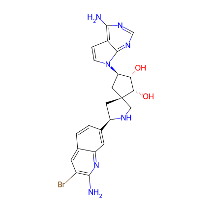 Nc1nc2cc([C@H]3C[C@@]4(CN3)C[C@@H](n3ccc5c(N)ncnc53)[C@H](O)[C@@H]4O)ccc2cc1Br